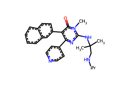 CC(C)NCC(C)(C)Nc1nc(-c2ccncc2)c(-c2ccc3ccccc3c2)c(=O)n1C